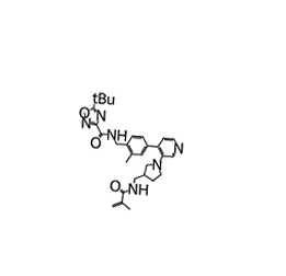 C=C(C)C(=O)NCC1CCN(c2cnccc2-c2ccc(CNC(=O)c3noc(C(C)(C)C)n3)c(C)c2)C1